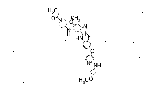 C=CC(=O)N1CCC(Nc2cc3c(Nc4ccc(Oc5ccnc(NC6CC(OC)C6)c5)cc4F)ncnc3cc2OC)CC1